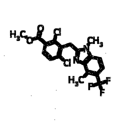 COC(=O)c1ccc(Cl)c(Cc2nc3c(C)c(C(F)(F)F)ccc3n2C)c1Cl